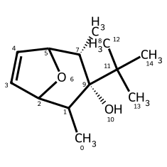 CC1C2C=CC(O2)[C@H](C)[C@@]1(O)C(C)(C)C